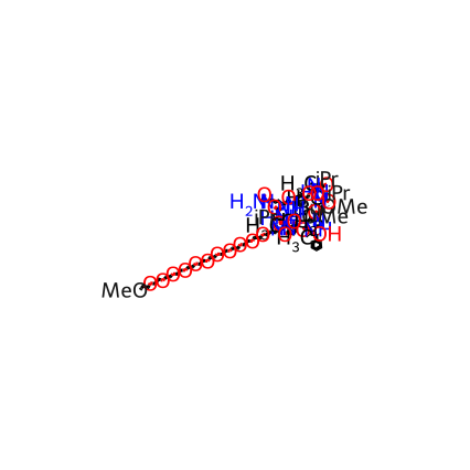 CC[C@H](C)[C@@H]([C@@H](CC(=O)N1CCC[C@H]1[C@H](OC)[C@@H](C)C(=O)N[C@H](C)[C@@H](O)c1ccccc1)OC)N(C)C(=O)[C@@H](NC(=O)[C@H](C(C)C)N(C)C(=O)OCc1ccc(NC(=O)[C@H](CCCNC(N)=O)NC(=O)[C@@H](NC(=O)[C@@](C)(CN(C)CCCOCCOCCOCCOCCOCCOCCOCCOCCOCCOCCOCCOC)N2C(=O)C=CC2=O)C(C)C)cc1)C(C)C